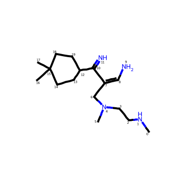 CNCCN(C)C/C(=C/N)C(=N)C1CCC(C)(C)CC1